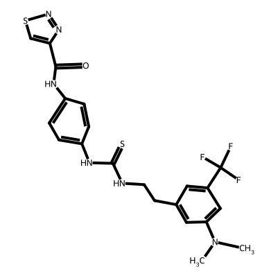 CN(C)c1cc(CCNC(=S)Nc2ccc(NC(=O)c3csnn3)cc2)cc(C(F)(F)F)c1